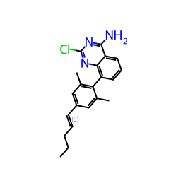 CCC/C=C/c1cc(C)c(-c2cccc3c(N)nc(Cl)nc23)c(C)c1